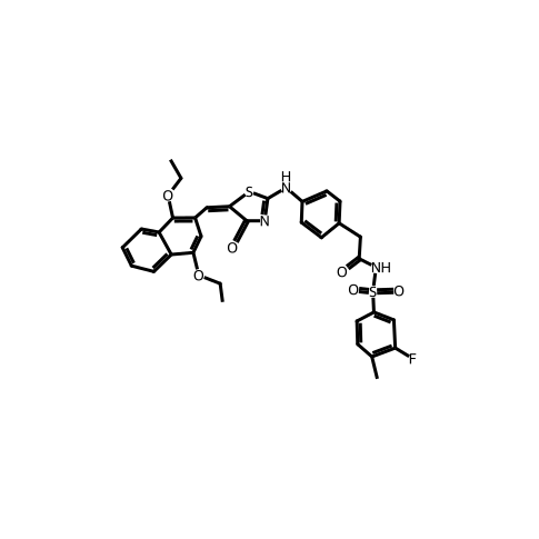 CCOc1cc(C=C2SC(Nc3ccc(CC(=O)NS(=O)(=O)c4ccc(C)c(F)c4)cc3)=NC2=O)c(OCC)c2ccccc12